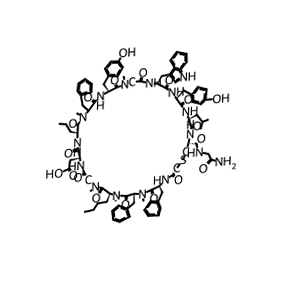 CCCC[C@H]1C(=O)N(C)CC(=O)N[C@@H](CC(=O)O)C(=O)N[C@@H](CCC)C(=O)N(C)C(Cc2ccccc2)C(=O)N[C@@H](Cc2ccc(O)cc2)C(=O)N(C)CC(=O)N[C@@H](Cc2c[nH]c3ccccc23)C(=O)N[C@@H](Cc2ccc(O)cc2)C(=O)N[C@@H](CC(C)C)C(=O)N[C@H](C(=O)NCC(N)=O)CSCC(=O)N[C@@H](Cc2ccccc2)C(=O)N(C)[C@@H](Cc2ccccc2)C(=O)N1C